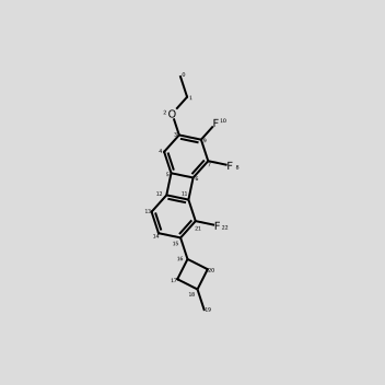 CCOc1cc2c(c(F)c1F)-c1c-2ccc(C2CC(C)C2)c1F